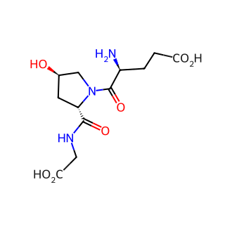 N[C@@H](CCC(=O)O)C(=O)N1C[C@H](O)C[C@H]1C(=O)NCC(=O)O